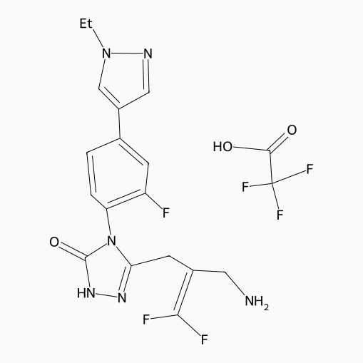 CCn1cc(-c2ccc(-n3c(CC(CN)=C(F)F)n[nH]c3=O)c(F)c2)cn1.O=C(O)C(F)(F)F